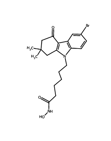 CC1(C)CC(=O)c2c(n(CCCCCC(=O)NO)c3ccc(Br)cc23)C1